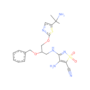 CC(C)(N)c1cnc(OCC(CNC2=NS(=O)(=O)C(C#N)=C2N)OCc2ccccc2)s1